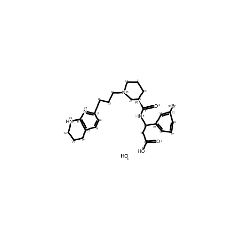 Cl.O=C(O)CC(NC(=O)[C@@H]1CCCN(CCCc2ccc3c(n2)NCCC3)C1)c1cccc(Br)c1